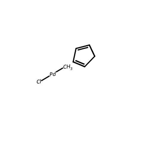 C1=CCC=C1.[CH3][Pd][Cl]